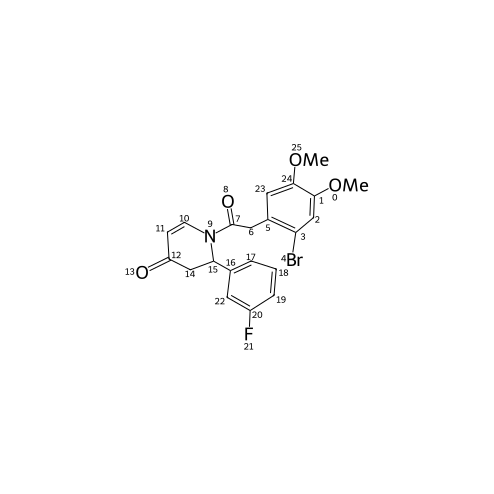 COc1cc(Br)c(CC(=O)N2C=CC(=O)CC2c2cccc(F)c2)cc1OC